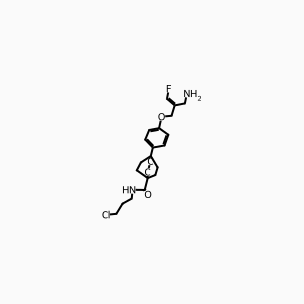 NCC(=CF)COc1ccc(C23CCC(C(=O)NCCCCl)(CC2)CC3)cc1